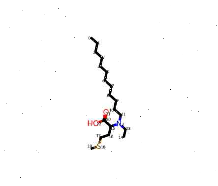 CCCCCCCCCCCCN(CC)C(CCSC)C(=O)O